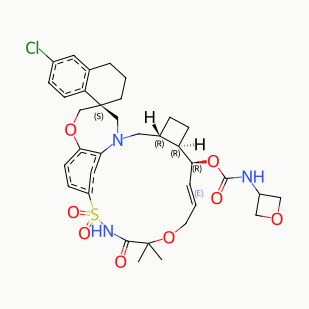 CC1(C)OC/C=C/[C@H](OC(=O)NC2COC2)[C@@H]2CC[C@H]2CN2C[C@@]3(CCCc4cc(Cl)ccc43)COc3ccc(cc32)S(=O)(=O)NC1=O